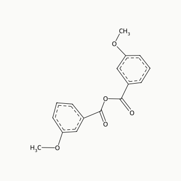 COc1cccc(C(=O)OC(=O)c2cccc(OC)c2)c1